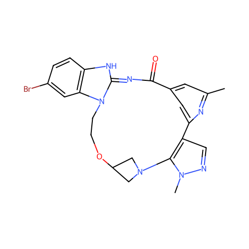 Cc1cc2cc(n1)-c1cnn(C)c1N1CC(C1)OCCN1C(=NC2=O)Nc2ccc(Br)cc21